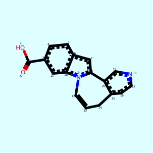 O=C(O)c1ccc2cc3n(c2c1)C=CCc1ccncc1-3